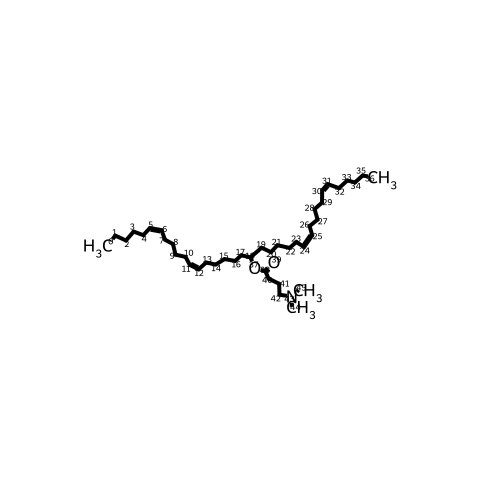 CCCCC/C=C\CCCC/C=C\CCCCCC(CCCCC/C=C\CCCC/C=C\CCCCC)OC(=O)CCCN(C)C